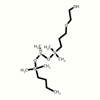 CCCC[Si](C)(C)O[SiH](C)O[Si](C)(C)CCCOCCO